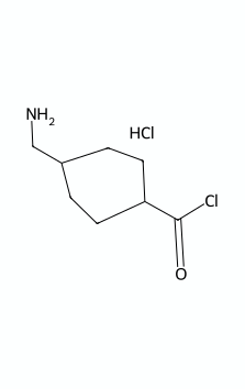 Cl.NCC1CCC(C(=O)Cl)CC1